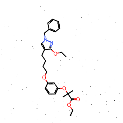 CCOC(=O)C(C)(C)Oc1cccc(OCCCCc2cn(Cc3ccccc3)nc2OCC)c1